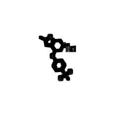 Cc1cc2c(o1)CN(C)CC2Oc1ccc(S(C)(=O)=O)cc1.Cl